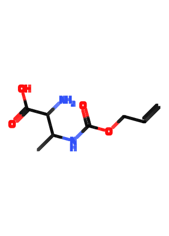 C=CCOC(=O)NC(C)C(N)C(=O)O